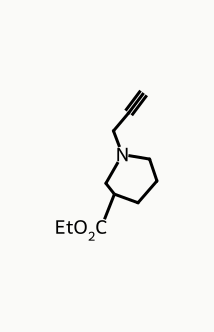 C#CCN1CCCC(C(=O)OCC)C1